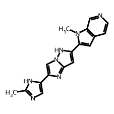 Cc1ncc(-c2cn3[nH]c(-c4cc5ccncc5n4C)cc3n2)[nH]1